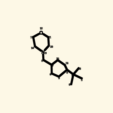 CC(C)(C)C1CCC(CN2CCOCC2)CC1